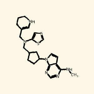 CNc1ncnc2c1ccn2C1CCC(CN(CC2=CNCCC2)c2cncs2)C1